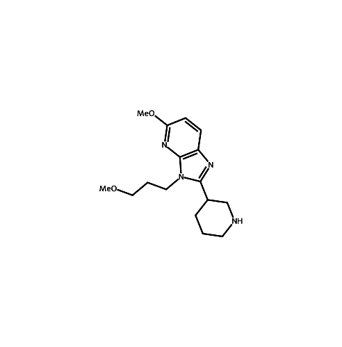 COCCCn1c(C2CCCNC2)nc2ccc(OC)nc21